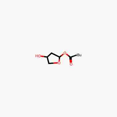 CCC(C)C(=O)OC1CC(O)CO1